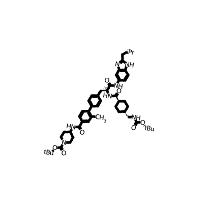 Cc1cc(C(=O)NC2CCN(C(=O)OC(C)(C)C)CC2)ccc1-c1ccc(C[C@H](NC(=O)[C@H]2CC[C@H](CNC(=O)OC(C)(C)C)CC2)C(=O)Nc2ccc3[nH]c(CC(C)C)nc3c2)cc1